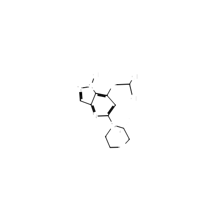 CC(C)Oc1cc(N2CCOC[C@H]2C)nc2cnn(C)c12